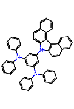 c1ccc(N(c2ccccc2)c2cc(N(c3ccccc3)c3ccccc3)cc(-n3c4ccc5ccccc5c4c4c5ccccc5ccc43)c2)cc1